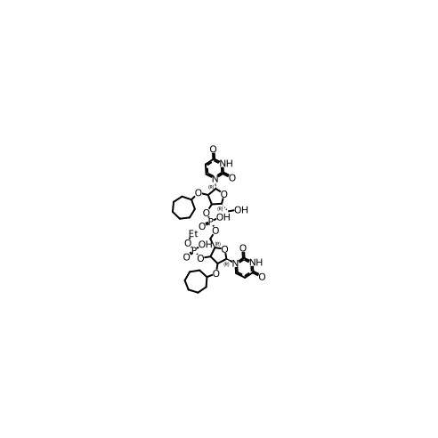 CCOP(=O)(O)OC1C(OC2CCCCCC2)[C@H](n2ccc(=O)[nH]c2=O)O[C@@H]1COP(=O)(O)OC1C(OC2CCCCCC2)[C@H](n2ccc(=O)[nH]c2=O)O[C@@H]1CO